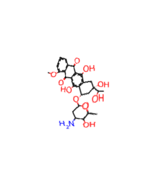 COc1cccc2c1C(=O)c1c(O)c3c(c(O)c1C2=O)C[C@@](O)(C(C)O)C[C@@H]3OC1CC(N)C(O)C(C)O1